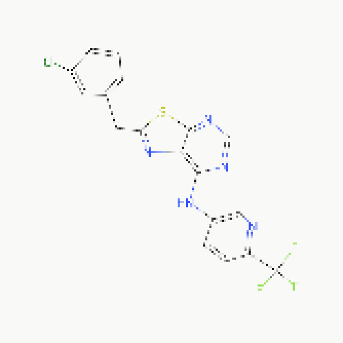 FC(F)(F)c1ccc(Nc2ncnc3sc(Cc4cccc(Cl)c4)nc23)cn1